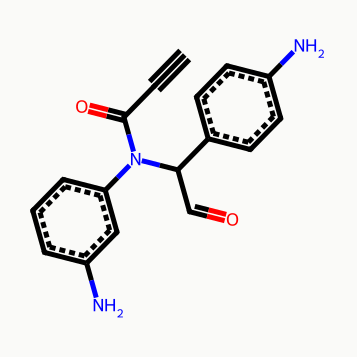 C#CC(=O)N(c1cccc(N)c1)C(C=O)c1ccc(N)cc1